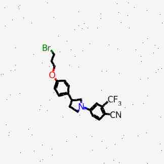 N#Cc1ccc(N2CCC(c3ccc(OCCCBr)cc3)C2)cc1C(F)(F)F